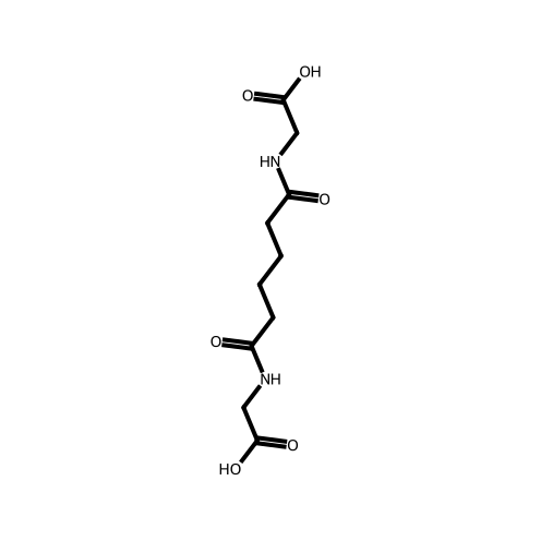 O=C(O)CNC(=O)CCCCC(=O)NCC(=O)O